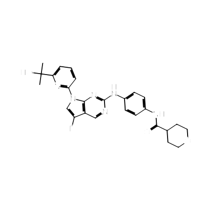 CC(C)(O)c1cccc(-n2cc(F)c3cnc(Nc4ccc(NC(=O)C5CCOCC5)cc4)nc32)n1